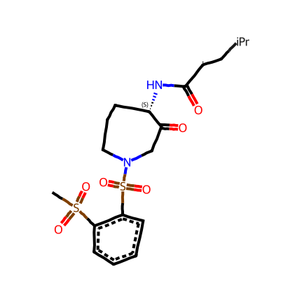 CC(C)C[CH]C(=O)N[C@H]1CCCN(S(=O)(=O)c2ccccc2S(C)(=O)=O)CC1=O